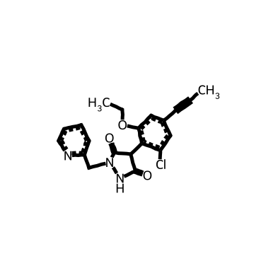 CC#Cc1cc(Cl)c(C2C(=O)NN(Cc3ccccn3)C2=O)c(OCC)c1